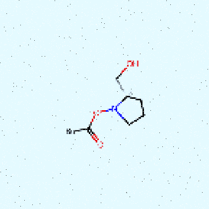 CCC(C)C(=O)ON1CCC[C@H]1CO